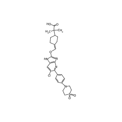 CC(C)(C(=O)O)C1CCC(=COc2nc3nc(-c4ccc(N5CCS(=O)(=O)CC5)cc4)c(Cl)cc3[nH]2)CC1